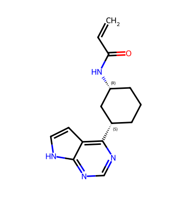 C=CC(=O)N[C@@H]1CCC[C@H](c2ncnc3[nH]ccc23)C1